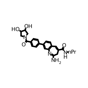 CCCNC(=O)C1=Cc2ccc(-c3ccc(C(=O)N4CC(O)C(O)C4)cc3)cc2N=C(N)C1